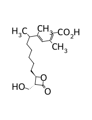 CC(=C/C(C)=C/C(=O)O)C(C)CCCCC[C@H]1OC(=O)[C@@H]1CO